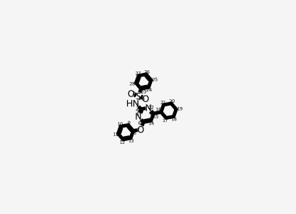 O=S(=O)(Nc1nc(Oc2ccccc2)cc(C2CCCCC2)n1)c1ccccc1